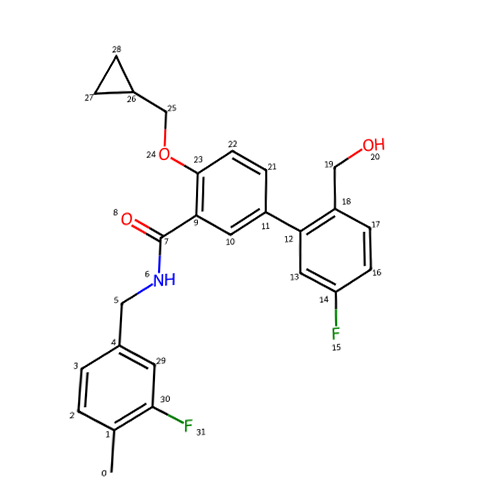 Cc1ccc(CNC(=O)c2cc(-c3cc(F)ccc3CO)ccc2OCC2CC2)cc1F